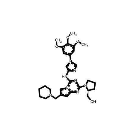 COc1cc(-n2cnc(Nc3nc(N4CCC[C@H]4CO)nc4cc(CN5CCCCC5)cn34)c2)cc(OC)c1OC